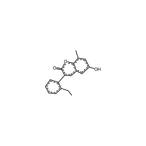 CCc1ccccc1-c1cc2cc(O)cc(C)c2oc1=O